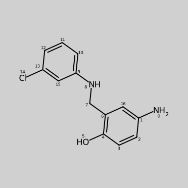 Nc1ccc(O)c(CNc2cccc(Cl)c2)c1